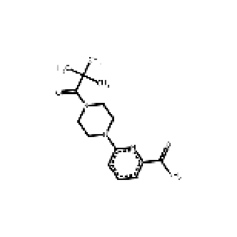 CC(C)(C)C(=O)N1CCN(c2cc[c]c(C(N)=O)n2)CC1